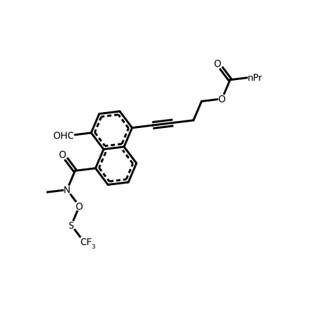 CCCC(=O)OCCC#Cc1ccc(C=O)c2c(C(=O)N(C)OSC(F)(F)F)cccc12